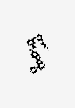 C=CC(=O)NC1CCN(Cc2ccnc(C(=O)Nc3ccc(-c4cc5c(N6CCOCC6)ncnc5[nH]4)cc3)c2)C1